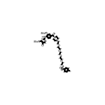 CNc1nc(Nc2ccc(C(=O)N3CCN(CCOCCOCCOCCOCCOS(=O)(=O)c4ccc(C)cc4)CC3)cc2OC)ncc1Cl